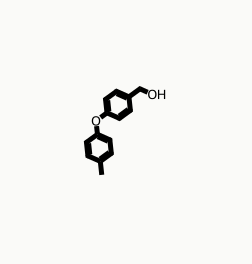 Cc1ccc(Oc2ccc(CO)cc2)cc1